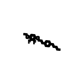 CCCCCC1CCC(CCCOc2ccc(OCC)c(F)c2F)CC1